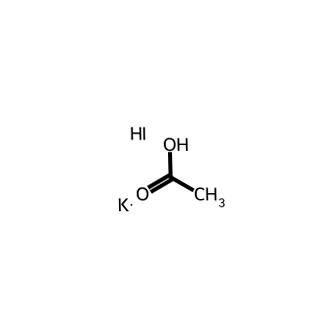 CC(=O)O.I.[K]